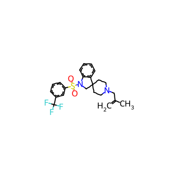 C=C(C)CN1CCC2(CC1)CN(S(=O)(=O)c1cccc(C(F)(F)F)c1)c1ccccc12